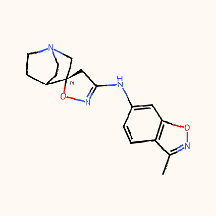 Cc1noc2cc(NC3=NO[C@@]4(C3)CN3CCC4CC3)ccc12